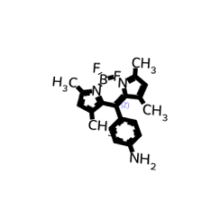 CC1=CC(C)=N/C1=C(/c1ccc(N)cc1)c1c(C)cc(C)n1B(F)F